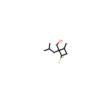 CC(C)CC1(CO)C(C)CC1F